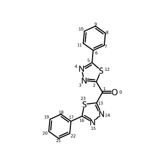 O=C(c1nnc(-c2ccccc2)s1)c1nnc(-c2ccccc2)s1